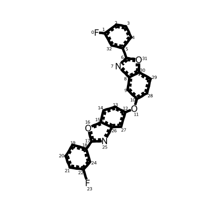 Fc1cccc(-c2nc3cc(Oc4ccc5oc(-c6cccc(F)c6)nc5c4)ccc3o2)c1